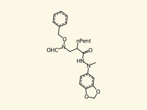 CCCCCC(CN(C=O)OCc1ccccc1)C(=O)NN(C)c1ccc2c(c1)OCO2